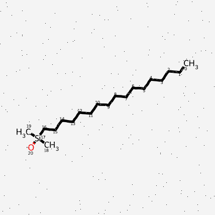 CCCCCCCCCCCCCCCCC[Si](C)(C)[O]